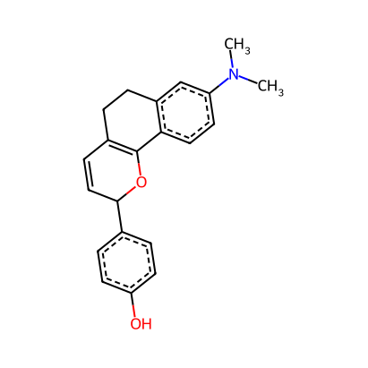 CN(C)c1ccc2c(c1)CCC1=C2OC(c2ccc(O)cc2)C=C1